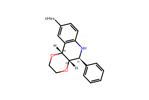 CCCCCCc1ccc2c(c1)[C@H]1OCCO[C@H]1[C@H](c1ccccc1)N2